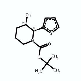 CC(C)(C)OC(=O)N1CCC[C@@H](O)[C@H]1c1cccs1